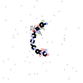 CC1(C)[C@H](NC(=O)c2cnc(N3CCN(CC4CCN(c5ccc6c(c5)C(=O)N(C5CCC(=O)NC5=O)C6=O)CC4)CC3)cc2F)C(C)(C)[C@H]1Oc1ccc(C#N)c(Cl)c1